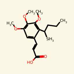 CCCC([SiH3])c1c(C=CC(=O)O)cc(OC)c(OC)c1OC